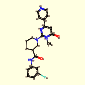 Cn1c(N2CCCC(C(=O)Nc3cccc(F)c3)C2)nc(-c2ccncc2)cc1=O